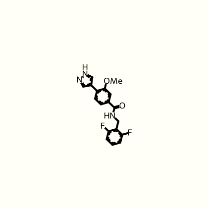 COc1cc(C(=O)NCc2c(F)cccc2F)ccc1-c1cn[nH]c1